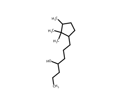 CCCC(O)CCCC1CCC(C)C1(C)C